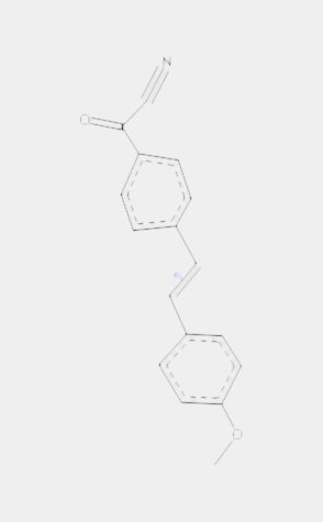 COc1ccc(/C=C/c2ccc(C(=O)C#N)cc2)cc1